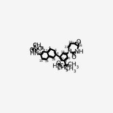 COc1c(-c2ccc3cc(NS(C)(=O)=O)ccc3c2)cc(N2C=CC3OC3NC2=O)cc1C(C)(C)C